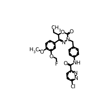 CCC1OC(=O)N(Cc2ccc(NC(=O)c3ccc(Cl)nn3)cc2)N=C1c1ccc(OC)c(OCF)c1